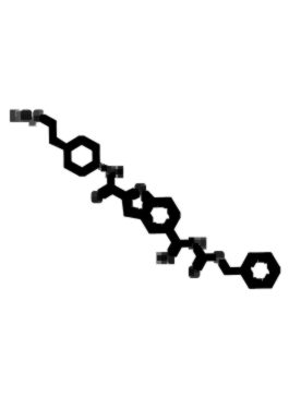 CCOC(=O)CC[C@H]1CC[C@H](NC(=O)c2cc3cc(C(=N)NC(=O)OCc4ccccc4)ccc3o2)CC1